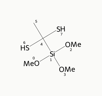 CO[Si](OC)(OC)C(C)(S)S